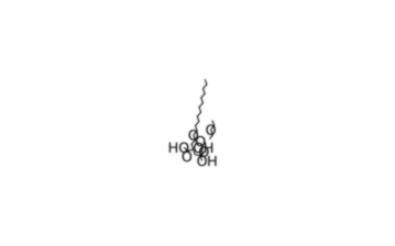 CCCCCCCCCCCCOC(=O)CC(O)(CC(=O)O)C(=O)O.CCOCC